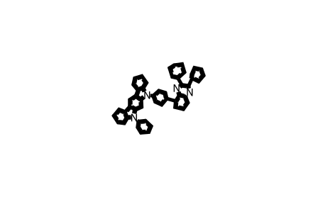 c1ccc(-c2nc3cccc(-c4ccc(-n5c6ccccc6c6cc7c8ccccc8n(-c8ccccc8)c7cc65)cc4)c3nc2-c2ccccc2)cc1